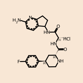 C[C@H](NC(=O)[C@H]1C[C@H](c2ccc(F)cc2)CCN1)C(=O)NC1CCc2nc(N)ccc21.Cl